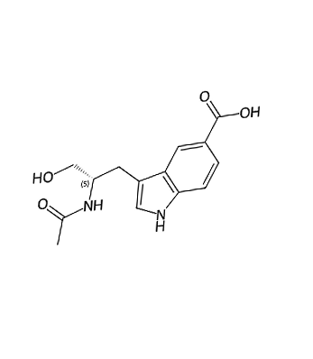 CC(=O)N[C@H](CO)Cc1c[nH]c2ccc(C(=O)O)cc12